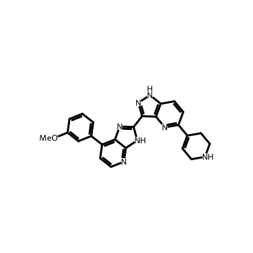 COc1cccc(-c2ccnc3[nH]c(-c4n[nH]c5ccc(C6=CCNCC6)nc45)nc23)c1